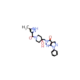 Cc1cc(C(=O)N2CCC(O)(Cn3cnc4c(cnn4-c4ccccc4)c3=O)CC2)n[nH]1